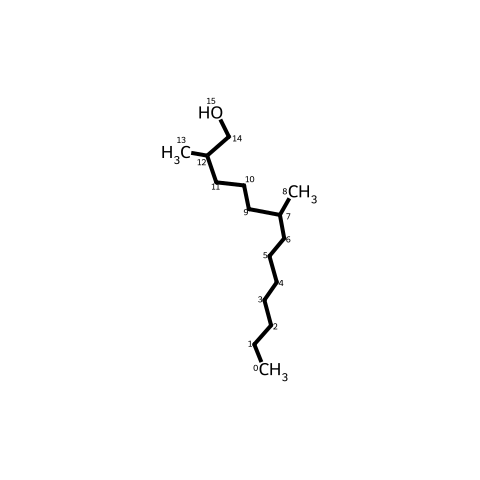 CCCCCCCC(C)CCCC(C)CO